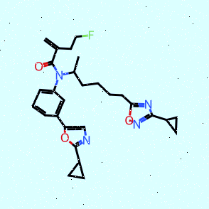 C=C(CCF)C(=O)N(c1cccc(-c2cnc(C3CC3)o2)c1)C(C)CCCCc1nc(C2CC2)no1